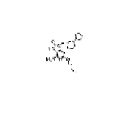 CCCCOc1nc(N)c2[nH]c(=O)n(CC3CCCN(C4CCCC4)C3)c2n1